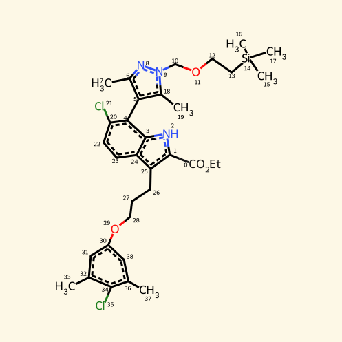 CCOC(=O)c1[nH]c2c(-c3c(C)nn(COCC[Si](C)(C)C)c3C)c(Cl)ccc2c1CCCOc1cc(C)c(Cl)c(C)c1